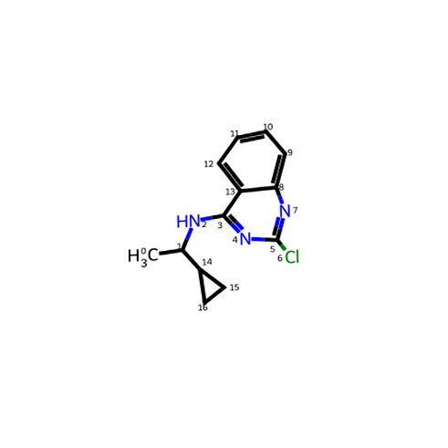 CC(Nc1nc(Cl)nc2ccccc12)C1CC1